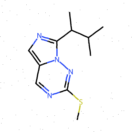 CSc1ncc2cnc(C(C)C(C)C)n2n1